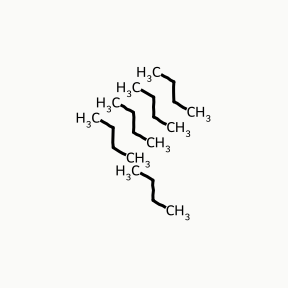 CCCC.CCCC.CCCC.CCCC.CCCC